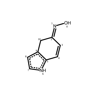 ON=C1C=Cc2[nH]ccc2C1